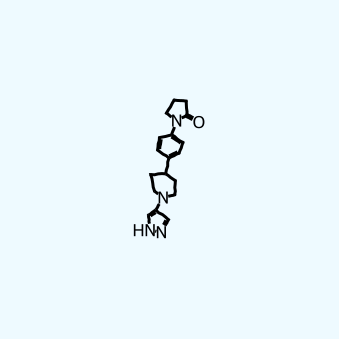 O=C1CCCN1c1ccc(C2CCN(c3cn[nH]c3)CC2)cc1